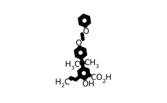 C=CCc1cc(C(C)(C)c2ccc(OCCOc3ccccc3)cc2)cc(C(=O)O)c1O